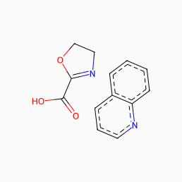 O=C(O)C1=NCCO1.c1ccc2ncccc2c1